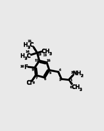 C[C@H](N)CCc1cc(Cl)c(F)c(C(C)(C)C)c1